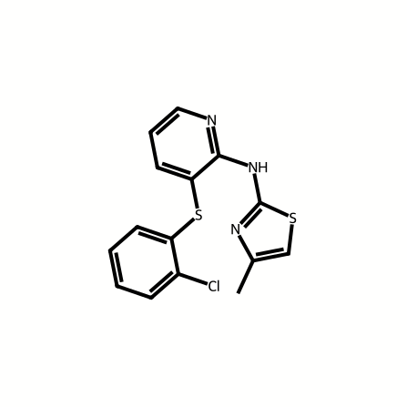 Cc1csc(Nc2ncccc2Sc2ccccc2Cl)n1